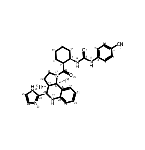 N#Cc1ccc(NC(=O)N[C@@H]2CCCC[C@@H]2C(=O)N2CC[C@@H]3[C@H](c4ncc[nH]4)Nc4ccccc4[C@@H]32)cc1